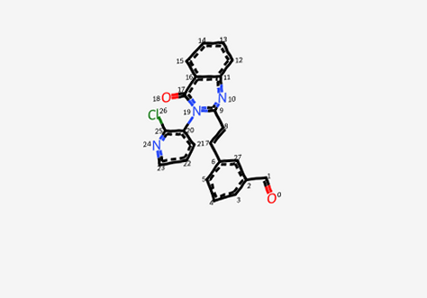 O=Cc1cccc(C=Cc2nc3ccccc3c(=O)n2-c2cccnc2Cl)c1